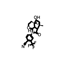 C[C@@]12C[C@H](O)[C@]3(CCO[C@H]4C3C1C(=O)N4c1ccc(C#N)c(C(F)(F)F)c1)O2